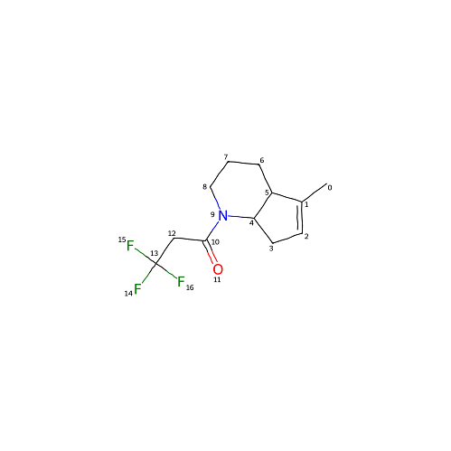 CC1=CCC2C1CCCN2C(=O)CC(F)(F)F